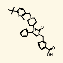 Cc1nc(C(C)(C)C)ccc1CN1CCC(N2C(=O)N(Cc3cccc(C(=O)O)c3)CC2c2ccccc2)CC1